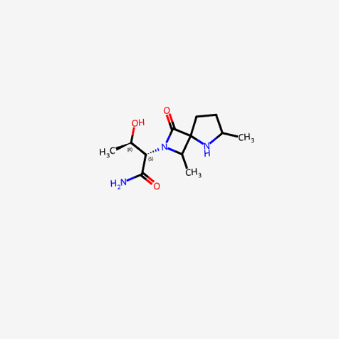 CC1CCC2(N1)C(=O)N([C@H](C(N)=O)[C@@H](C)O)C2C